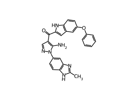 Cc1nc2cc(-n3ncc(C(=O)c4cc5cc(Oc6ccccc6)ccc5[nH]4)c3N)ccc2[nH]1